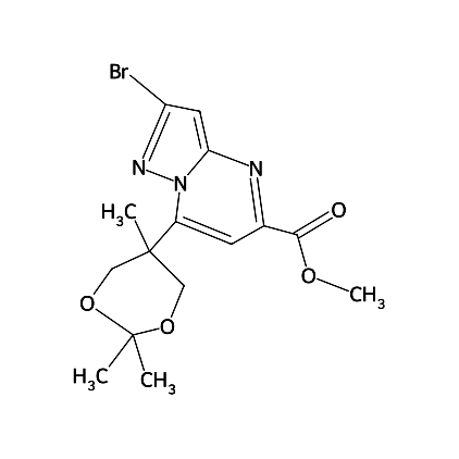 COC(=O)c1cc(C2(C)COC(C)(C)OC2)n2nc(Br)cc2n1